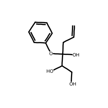 C=CCC(O)(Oc1ccccc1)C(O)CO